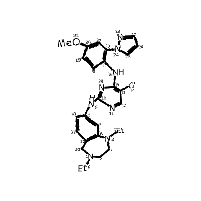 CCN1CCN(CC)c2cc(Nc3ncc(Cl)c(Nc4ccc(OC)cc4-n4cccn4)n3)ccc2C1